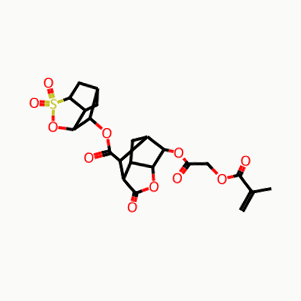 C=C(C)C(=O)OCC(=O)OC1C2CC3C1OC(=O)C3C2C(=O)OC1C2CC3C1OS(=O)(=O)C3C2